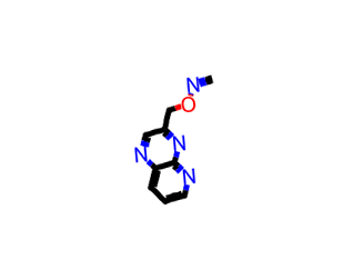 C=NOCc1cnc2cccnc2n1